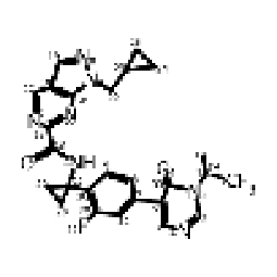 C[C@H](n1cncc(-c2ccc(C3(NC(=O)c4ncc5cnn(CC6CC6)c5n4)CC3)c(F)c2)c1=O)C(F)(F)F